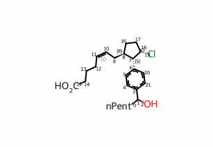 CCCCCC(O)c1ccc([C@@H]2[C@@H](C/C=C\CCCC(=O)O)CC[C@@H]2Cl)cc1